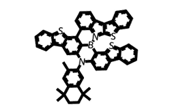 Cc1cc2c(cc1N1c3cc4c(sc5ccccc54)c4c3B(c3c1ccc1c3sc3ccccc31)n1c3sc5ccccc5c3c3cccc-4c31)C(C)(C)CCC2(C)C